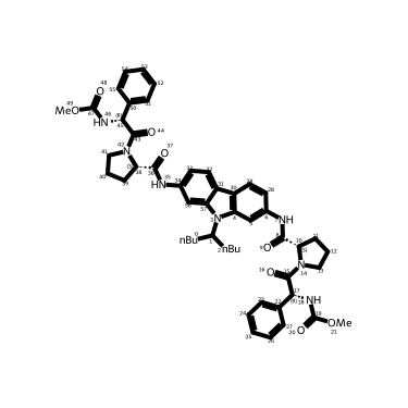 CCCCC(CCCC)n1c2cc(NC(=O)[C@@H]3CCCN3C(=O)[C@H](NC(=O)OC)c3ccccc3)ccc2c2ccc(NC(=O)[C@@H]3CCCN3C(=O)[C@H](NC(=O)OC)c3ccccc3)cc21